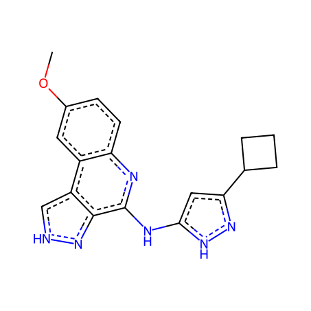 COc1ccc2nc(Nc3cc(C4CCC4)n[nH]3)c3n[nH]cc3c2c1